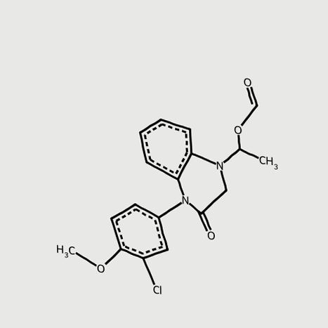 COc1ccc(N2C(=O)CN(C(C)OC=O)c3ccccc32)cc1Cl